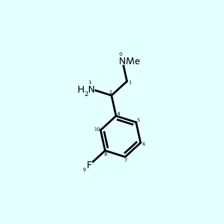 CNCC(N)c1cccc(F)c1